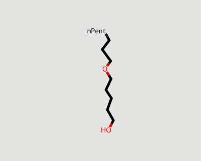 CCCCCCCCOCCCCCO